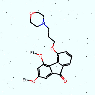 CCOc1cc(OCC)c2c(c1)C(=O)c1cccc(OCCCN3CCOCC3)c1-2